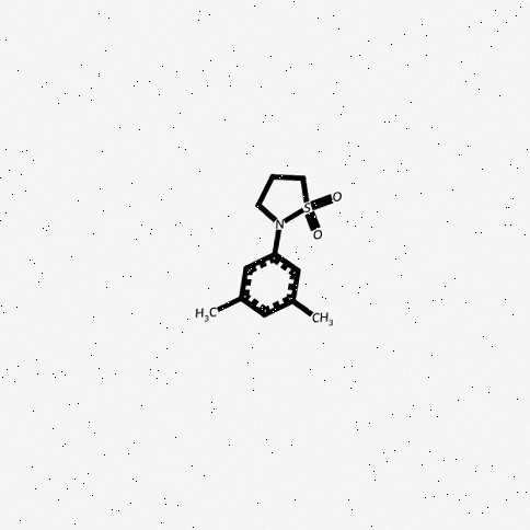 Cc1cc(C)cc(N2CCCS2(=O)=O)c1